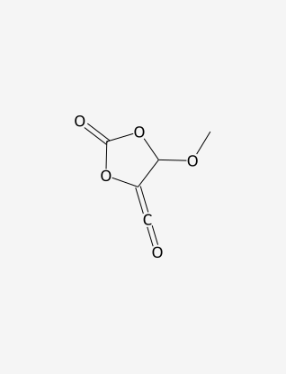 COC1OC(=O)OC1=C=O